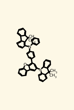 CC1(C)c2ccccc2N(c2cc(-c3ccc(N(c4ccccc4)c4cccc5c4C(C)(C)c4ccccc4-5)cc3)c3oc4ccccc4c3c2)c2ccccc21